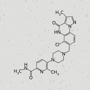 CNC(=O)c1ccc(N2CCN(Cc3ccc4c([nH]c(=O)c5c(C)cnn54)c3Cl)CC2)c(C)n1